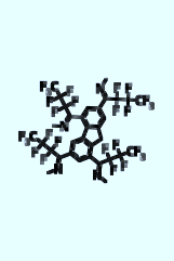 C/N=C(/c1cc2c(c(/C(=N/C)C(F)(F)C(F)(F)C(F)(F)F)c1)-c1cc(/C(=N/C)C(F)(F)C(F)(F)C(F)(F)F)cc(/C(=N/C)C(F)(F)C(F)(F)C(F)(F)F)c1C2)C(F)(F)C(F)(F)C(F)(F)F